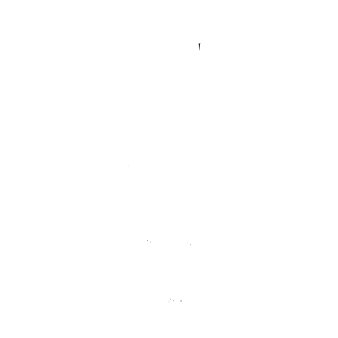 CCCCCCCCCc1cnc(-c2ccc(CC[C@H]3CC[C@H](CCC)CC3)c(C)c2)nc1